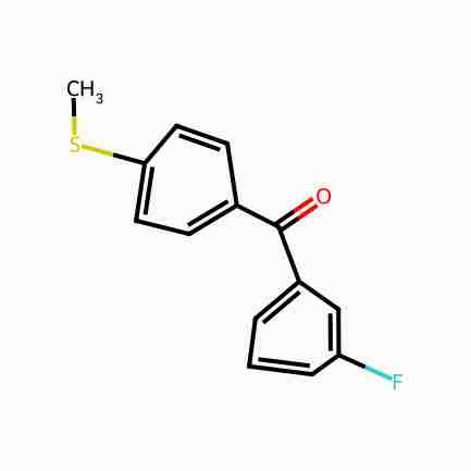 CSc1ccc(C(=O)c2cccc(F)c2)cc1